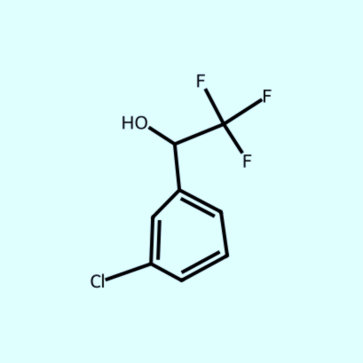 OC(c1cccc(Cl)c1)C(F)(F)F